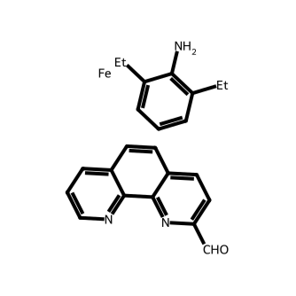 CCc1cccc(CC)c1N.O=Cc1ccc2ccc3cccnc3c2n1.[Fe]